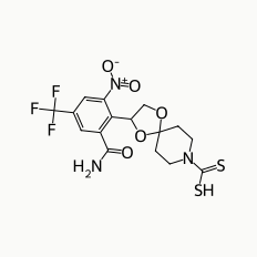 NC(=O)c1cc(C(F)(F)F)cc([N+](=O)[O-])c1C1COC2(CCN(C(=S)S)CC2)O1